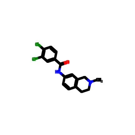 CN1CCc2ccc(NC(=O)c3ccc(Cl)c(Cl)c3)cc2C1